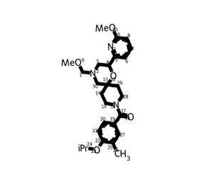 COCN1CC(c2cccc(OC)n2)OC2(CCN(C(=O)c3ccc(OC(C)C)c(C)c3)CC2)C1